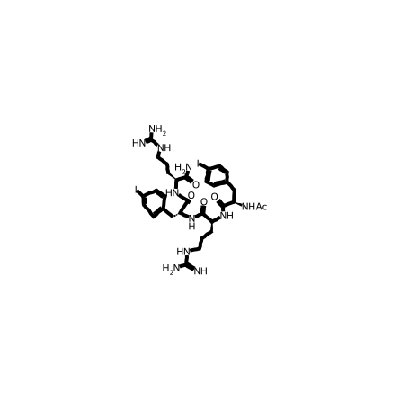 CC(=O)N[C@H](Cc1ccc(I)cc1)C(=O)N[C@@H](CCCNC(=N)N)C(=O)N[C@H](Cc1ccc(I)cc1)C(=O)N[C@@H](CCCNC(=N)N)C(N)=O